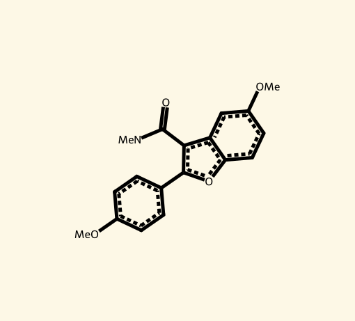 CNC(=O)c1c(-c2ccc(OC)cc2)oc2ccc(OC)cc12